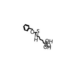 O=P(O)(O)CCCCNC(=S)OCc1ccccc1